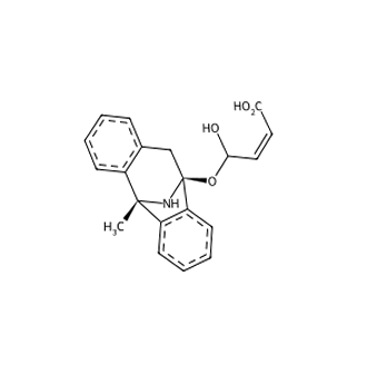 C[C@]12N[C@](OC(O)/C=C\C(=O)O)(Cc3ccccc31)c1ccccc12